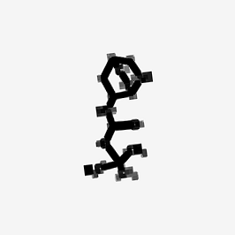 CC(C)(C)OC(=O)NC1CC2CCC1NC2